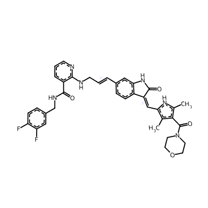 Cc1[nH]c(/C=C2\C(=O)Nc3cc(/C=C/CNc4ncccc4C(=O)NCc4ccc(F)c(F)c4)ccc32)c(C)c1C(=O)N1CCOCC1